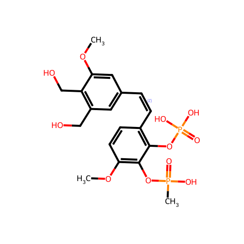 COc1cc(/C=C\c2ccc(OC)c(OP(C)(=O)O)c2OP(=O)(O)O)cc(CO)c1CO